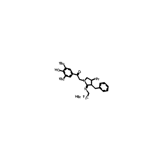 Br.CCCC1CN(CC(=O)c2cc(C(C)(C)C)c(O)c(C(C)(C)C)c2)C(=NCC(F)(F)F)C1Cc1ccccc1